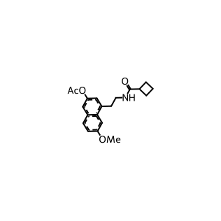 COc1ccc2cc(OC(C)=O)cc(CCNC(=O)C3CCC3)c2c1